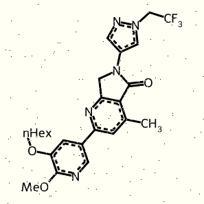 CCCCCCOc1cc(-c2cc(C)c3c(n2)CN(c2cnn(CC(F)(F)F)c2)C3=O)cnc1OC